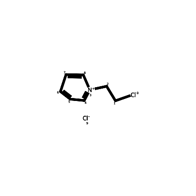 ClCC[n+]1ccccc1.[Cl-]